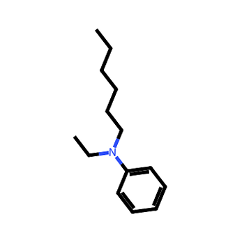 CCCCCCN(CC)c1ccccc1